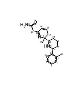 Cc1cccnc1[C@@H]1CCC[C@H](C2(C)CC=CC(CC(N)=O)=N2)N1